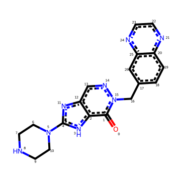 O=c1c2[nH]c(N3CCNCC3)nc2cnn1Cc1ccc2nccnc2c1